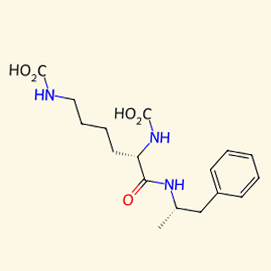 C[C@@H](Cc1ccccc1)NC(=O)[C@H](CCCCNC(=O)O)NC(=O)O